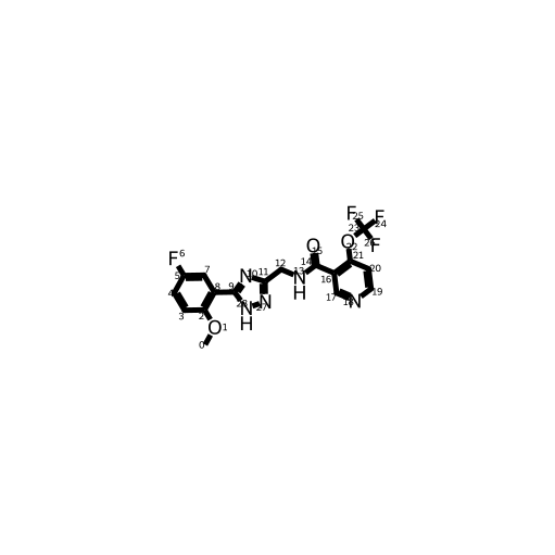 COc1ccc(F)cc1-c1nc(CNC(=O)c2cnccc2OC(F)(F)F)n[nH]1